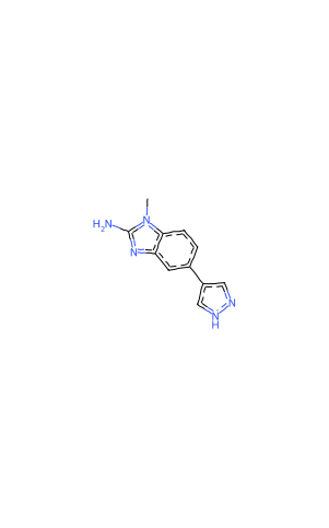 Cn1c(N)nc2cc(-c3cn[nH]c3)ccc21